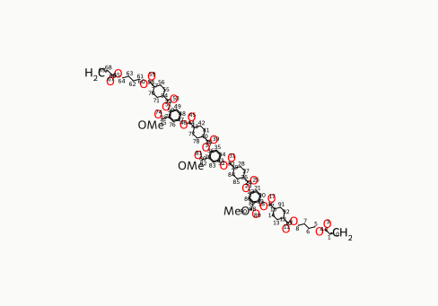 C=CC(=O)OCCCCOC(=O)C1CCC(C(=O)Oc2ccc(OC(=O)C3CCC(C(=O)Oc4ccc(OC(=O)C5CCC(C(=O)Oc6ccc(OC(=O)C7CCC(C(=O)OCCCCOC(=O)C=C)CC7)c(C(=O)OC)c6)CC5)c(C(=O)OC)c4)CC3)cc2C(=O)OC)CC1